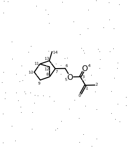 C=C(C)C(=O)OCC1C2CCC(C2)C1C